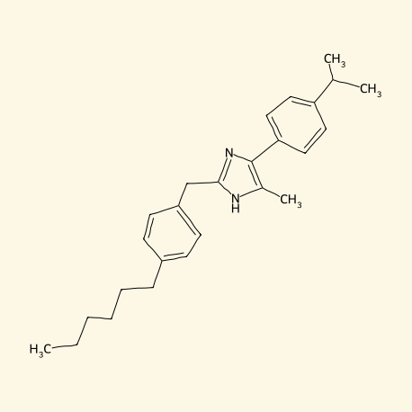 CCCCCCc1ccc(Cc2nc(-c3ccc(C(C)C)cc3)c(C)[nH]2)cc1